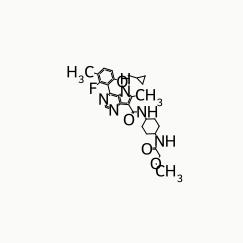 COCC(=O)N[C@H]1CC[C@@H](NC(=O)c2c(C)[nH]c3c(-c4c(OCC5CC5)ccc(C)c4F)ncnc23)CC1